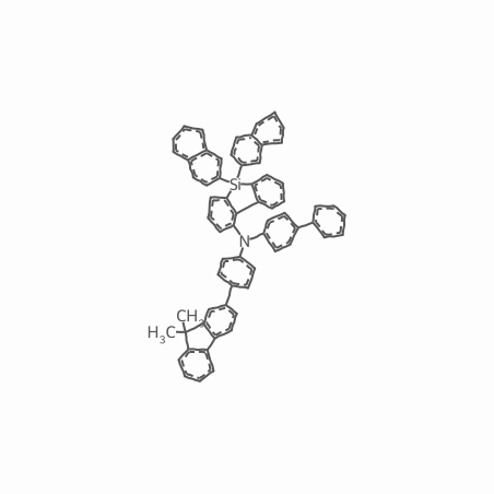 CC1(C)c2ccccc2-c2ccc(-c3ccc(N(c4ccc(-c5ccccc5)cc4)c4cccc5c4-c4ccccc4[Si]5(c4ccc5ccccc5c4)c4ccc5ccccc5c4)cc3)cc21